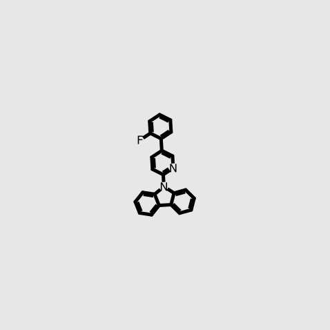 Fc1ccccc1-c1ccc(-n2c3ccccc3c3ccccc32)nc1